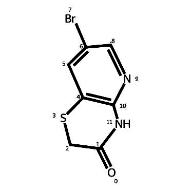 O=C1CSc2cc(Br)[c]nc2N1